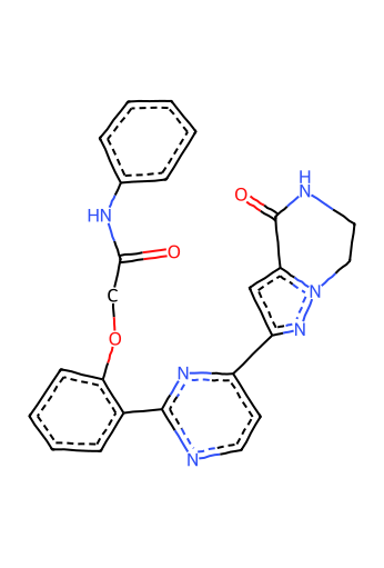 O=C(COc1ccccc1-c1nccc(-c2cc3n(n2)CCNC3=O)n1)Nc1ccccc1